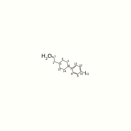 C=CCC1CCC(c2ccc(I)cc2)CC1